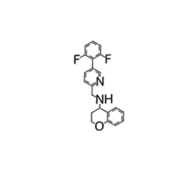 Fc1cccc(F)c1-c1ccc(CNC2CCOc3ccccc32)nc1